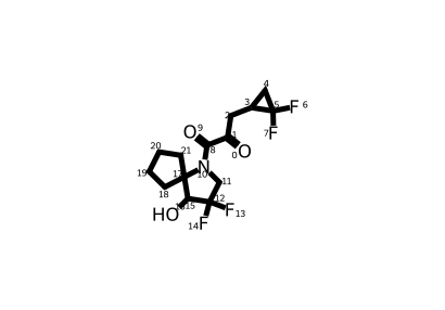 O=C(CC1CC1(F)F)C(=O)N1CC(F)(F)C(O)C12CCCC2